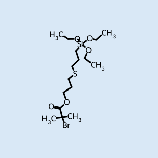 CCO[Si](CCCSCCCOC(=O)C(C)(C)Br)(OCC)OCC